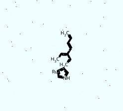 C=CC=CC(C=C)=CC.[Ru].c1cc[nH]c1